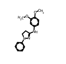 COc1ccc(NC2=NN(c3ccccc3)CC2)cc1OC